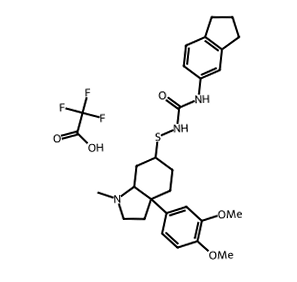 COc1ccc(C23CCC(SNC(=O)Nc4ccc5c(c4)CCC5)CC2N(C)CC3)cc1OC.O=C(O)C(F)(F)F